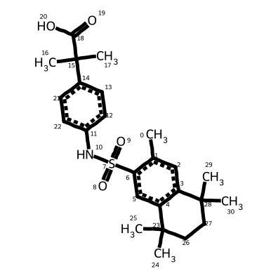 Cc1cc2c(cc1S(=O)(=O)Nc1ccc(C(C)(C)C(=O)O)cc1)C(C)(C)CCC2(C)C